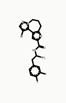 NC(Cc1ccc(F)c(F)c1)NC(=O)c1cc2c(s1)CCCn1ncc(Br)c1-2